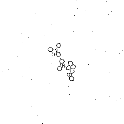 c1ccc(N2c3ccccc3Oc3cc(-c4ccc5c(c4)c4ccccc4n5-c4cc5c6oc7ccccc7c6cc6ccc7cccc4c7c65)ccc32)cc1